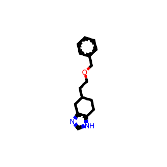 c1ccc(COCCC2CCc3[nH]cnc3C2)cc1